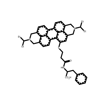 CCC(CC)N1Cc2ccc3c4ccc5c6c(cc(SCCC(=O)NC(Cc7ccccc7)C(=O)O)c(c7ccc(c2c37)C1)c64)CN(C(CC)CC)C5